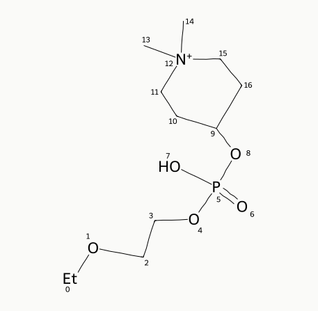 CCOCCOP(=O)(O)OC1CC[N+](C)(C)CC1